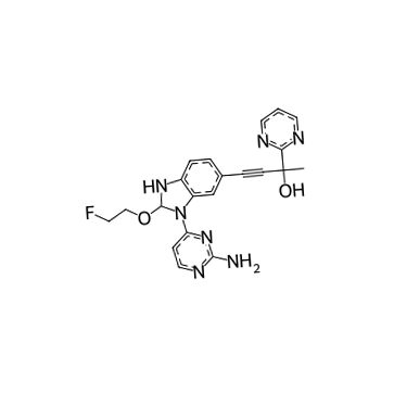 CC(O)(C#Cc1ccc2c(c1)N(c1ccnc(N)n1)C(OCCF)N2)c1ncccn1